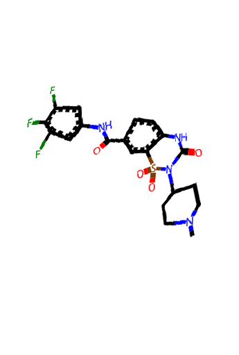 CN1CCC(N2C(=O)Nc3ccc(C(=O)Nc4cc(F)c(F)c(F)c4)cc3S2(=O)=O)CC1